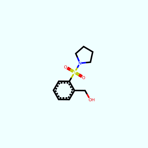 O=S(=O)(c1ccccc1CO)N1CCCC1